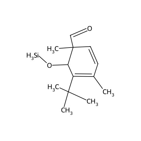 CC1=C(C(C)(C)C)C(O[SiH3])C(C)(C=O)C=C1